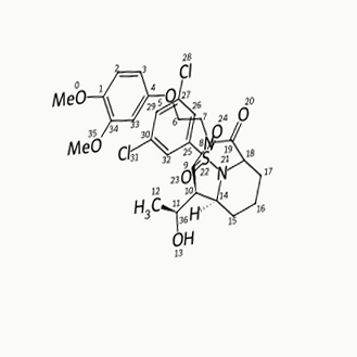 COc1ccc(OCCN2C[C@H]([C@H](C)O)[C@@H]3CCCC(C2=O)N3S(=O)(=O)c2cc(Cl)cc(Cl)c2)cc1OC